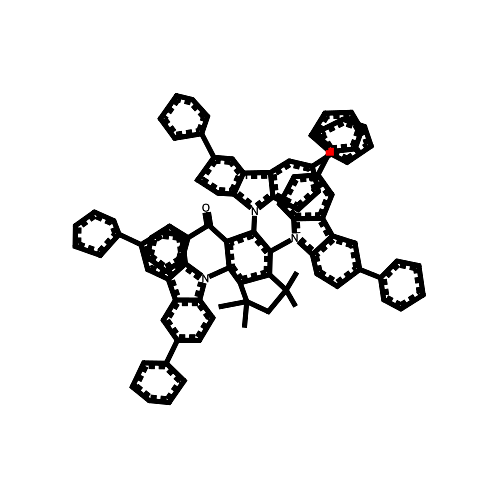 CC1(C)CC(C)(C)c2c(-n3c4ccc(-c5ccccc5)cc4c4cc(-c5ccccc5)ccc43)c(-n3c4ccc(-c5ccccc5)cc4c4cc(-c5ccccc5)ccc43)c(C(=O)c3ccccc3)c(-n3c4ccc(-c5ccccc5)cc4c4cc(-c5ccccc5)ccc43)c21